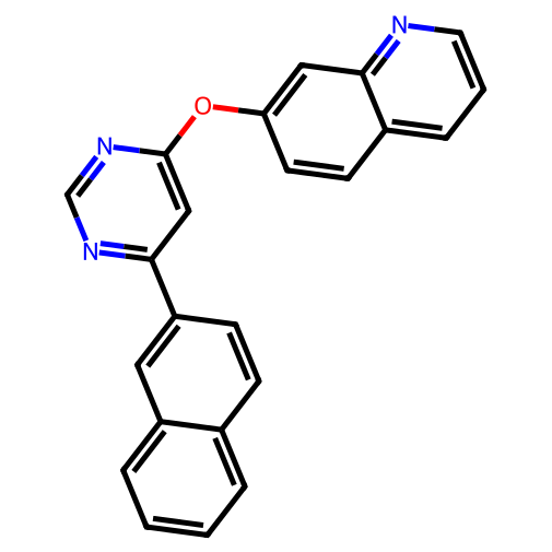 c1ccc2cc(-c3cc(Oc4ccc5cccnc5c4)ncn3)ccc2c1